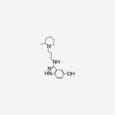 CC1CCCCN1CCCNc1n[nH]c2ccc(O)cc12